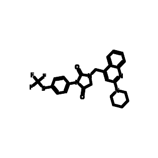 O=C1CN(Cc2cc(N3CCCCC3)nc3ccccc23)C(=O)N1c1ccc(SC(F)(F)F)cc1